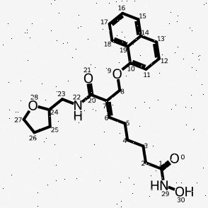 O=C(CCCC/C=C(\COc1cccc2ccccc12)C(=O)NCC1CCCO1)NO